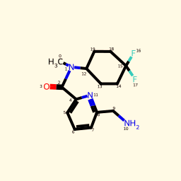 CN(C(=O)c1cccc(CN)n1)C1CCC(F)(F)CC1